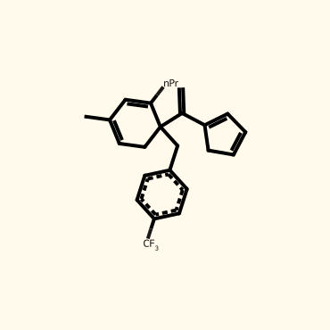 C=C(C1=CC=CC1)C1(Cc2ccc(C(F)(F)F)cc2)CC=C(C)C=C1CCC